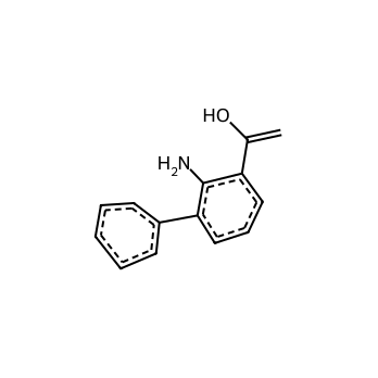 C=C(O)c1cccc(-c2ccccc2)c1N